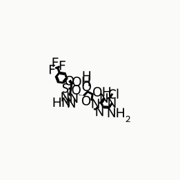 Nc1nc(Cl)nc2c1ncn2[C@@H]1O[C@H](COC(Sc2ccc(C(F)(F)F)cc2)(C(=O)O)c2nn[nH]n2)[C@@H](O)[C@H]1O